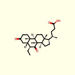 CC[C@@H]1C(=O)[C@@H]2[C@H](CC[C@]3(C)[C@@H]([C@H](C)CCC(=O)O)CC[C@@H]23)[C@@]2(C)CCC(=O)C[C@@H]12